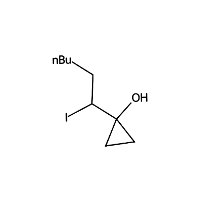 CCCCCC(I)C1(O)CC1